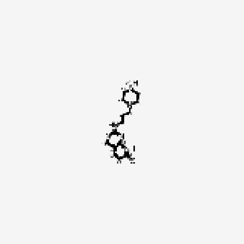 CN1CCN(CCCNc2ncc3ccc(=O)[nH]c3n2)CC1